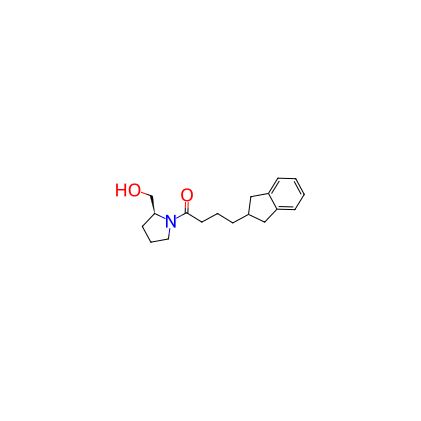 O=C(CCCC1Cc2ccccc2C1)N1CCC[C@H]1CO